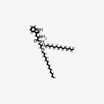 CCCCCCCCCCCCCCOCC(CNC(=O)C(N)Cc1c[nH]c2ccccc12)OCCCCCCCCCCCCCC